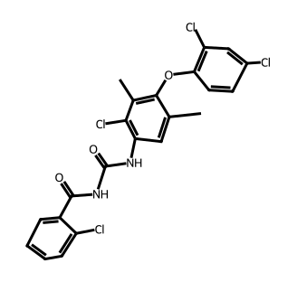 Cc1cc(NC(=O)NC(=O)c2ccccc2Cl)c(Cl)c(C)c1Oc1ccc(Cl)cc1Cl